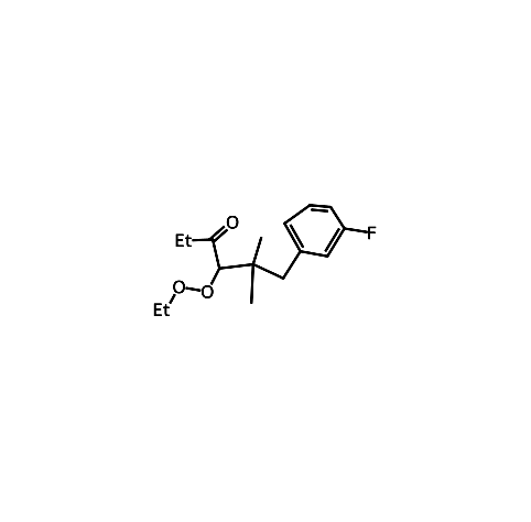 CCOOC(C(=O)CC)C(C)(C)Cc1cccc(F)c1